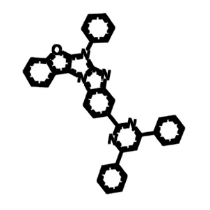 c1ccc(-c2cc(-c3ccccc3)nc(-c3ccc4c(c3)nc3n(-c5ccccc5)c5oc6ccccc6c5n43)n2)cc1